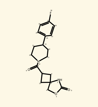 O=C1NC2(CO1)CC(C(=O)N1CCC(c3ccc(F)cc3)CC1)C2